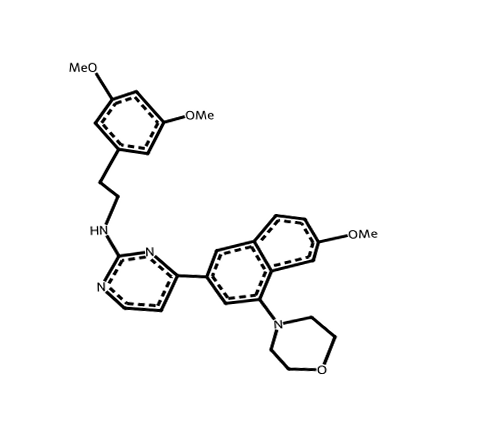 COc1cc(CCNc2nccc(-c3cc(N4CCOCC4)c4cc(OC)ccc4c3)n2)cc(OC)c1